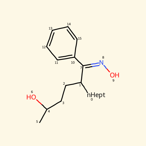 CCCCCCCC(CCC(C)O)C(=NO)c1ccccc1